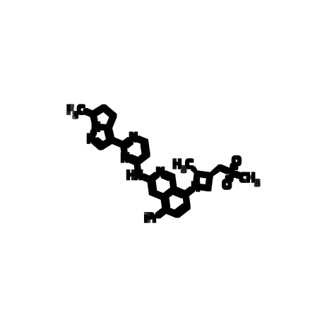 CC(C)c1ccc(N2C[C@H](CS(C)(=O)=O)[C@H]2C)c2cnc(Nc3ccnc(-c4cnn5c4CCC5C(F)(F)F)n3)cc12